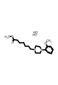 COC(=O)CCCCCCN1CCN(c2ccccc2OC)CC1.Cl.Cl